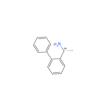 C[C@@H](N)c1ccccc1-c1ccccc1